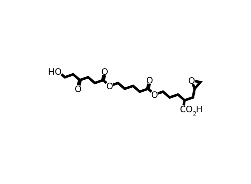 O=C(CCO)CCC(=O)OCCCCC(=O)OCCCC(CC1CO1)C(=O)O